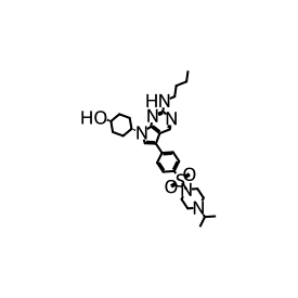 CCCCNc1ncc2c(-c3ccc(S(=O)(=O)N4CCN(C(C)C)CC4)cc3)cn([C@H]3CC[C@H](O)CC3)c2n1